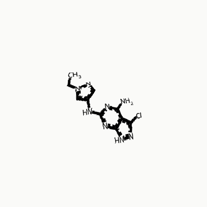 CCn1cc(Nc2nc(N)c3c(Cl)n[nH]c3n2)cn1